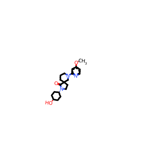 COc1ccnc(N2CCCC3(CCN([C@H]4CC[C@H](O)CC4)C3=O)C2)c1